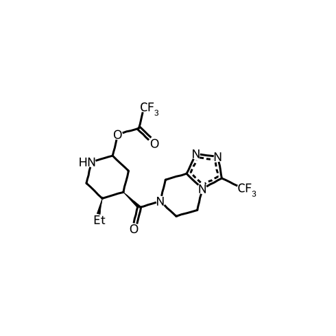 CC[C@H]1CNC(OC(=O)C(F)(F)F)C[C@H]1C(=O)N1CCn2c(nnc2C(F)(F)F)C1